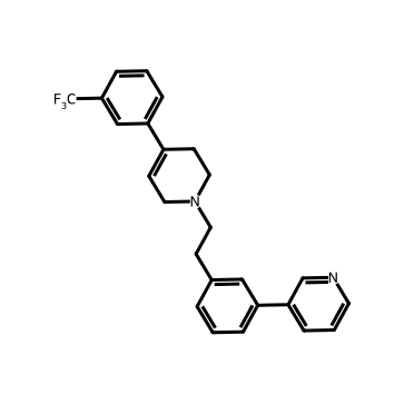 FC(F)(F)c1cccc(C2=CCN(CCc3cccc(-c4cccnc4)c3)CC2)c1